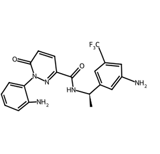 C[C@@H](NC(=O)c1ccc(=O)n(-c2ccccc2N)n1)c1cc(N)cc(C(F)(F)F)c1